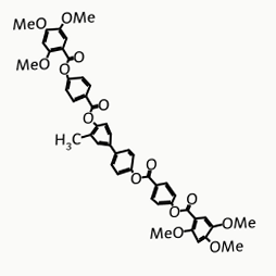 COc1cc(OC)c(C(=O)Oc2ccc(C(=O)Oc3ccc(-c4ccc(OC(=O)c5ccc(OC(=O)c6cc(OC)c(OC)cc6OC)cc5)c(C)c4)cc3)cc2)cc1OC